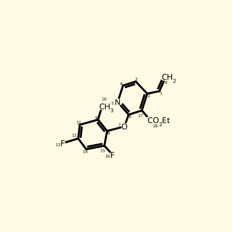 C=Cc1ccnc(Oc2c(C)cc(F)cc2F)c1C(=O)OCC